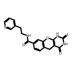 O=C(NCCc1cccnc1)c1ccc2c(c1)Oc1[nH]c(=S)[nH]c(=O)c1C2